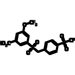 O=C(O)c1cc(OC(F)(F)F)cc(S(=O)(=O)Cc2ccc(S(=O)(=O)C(F)(F)F)cc2)c1